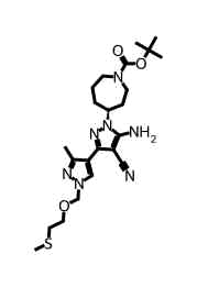 CSCCOCn1cc(-c2nn([C@H]3CCCN(C(=O)OC(C)(C)C)CC3)c(N)c2C#N)c(C)n1